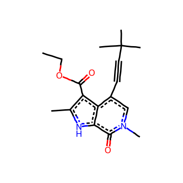 CCOC(=O)c1c(C)[nH]c2c(=O)n(C)cc(C#CC(C)(C)C)c12